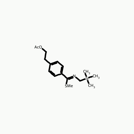 CSC(=NC[Si](C)(C)C)c1ccc(CCOC(C)=O)cc1